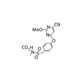 COc1nc(C#N)cc(Oc2ccc(CS(=O)(=O)N(C)C(=O)O)cc2)n1